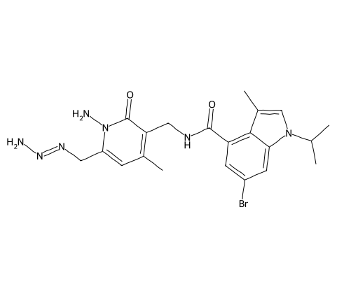 Cc1cc(CN=NN)n(N)c(=O)c1CNC(=O)c1cc(Br)cc2c1c(C)cn2C(C)C